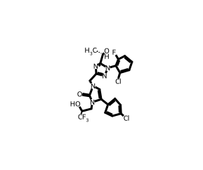 C[C@H](O)c1nc(Cn2cc(-c3ccc(Cl)cc3)n(C[C@H](O)C(F)(F)F)c2=O)nn1-c1c(F)cccc1Cl